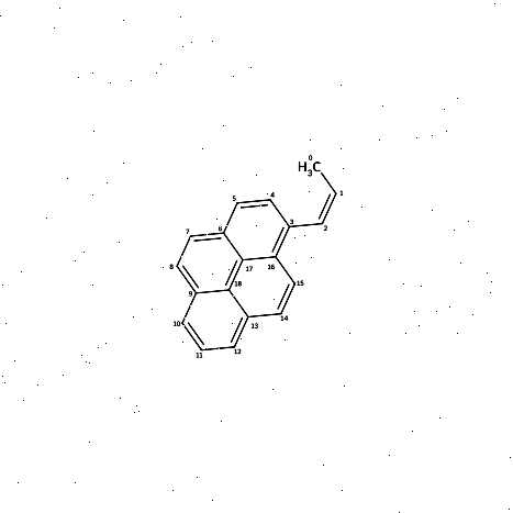 C/C=C\c1ccc2ccc3cccc4ccc1c2c34